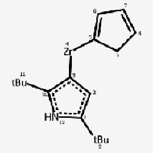 CC(C)(C)c1c[c]([Zr][C]2=CC=CC2)c(C(C)(C)C)[nH]1